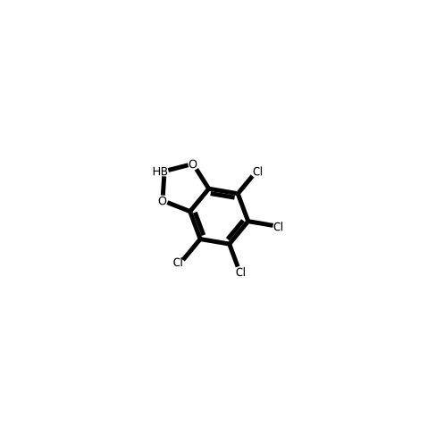 Clc1c(Cl)c(Cl)c2c(c1Cl)OBO2